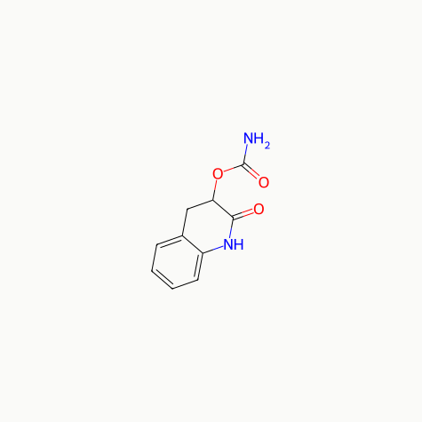 NC(=O)OC1Cc2ccccc2NC1=O